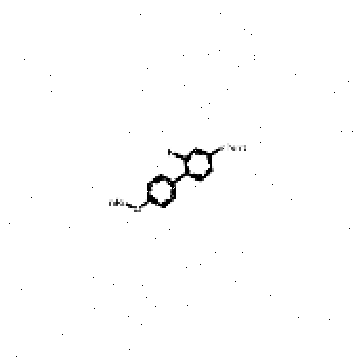 CCCCCc1ccc(-c2ccc(OCCCC)cc2)c(F)c1